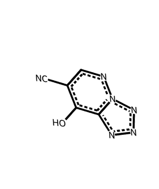 N#Cc1cnn2nnnc2c1O